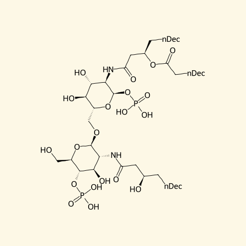 CCCCCCCCCCCC(=O)O[C@H](CCCCCCCCCCC)CC(=O)N[C@H]1[C@@H](OP(=O)(O)O)O[C@H](CO[C@@H]2O[C@H](CO)[C@@H](OP(=O)(O)O)[C@H](O)[C@H]2NC(=O)C[C@H](O)CCCCCCCCCCC)[C@@H](O)[C@@H]1O